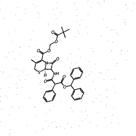 CC1=C(C(=O)OCOC(=O)C(C)(C)C)N2C(=O)C(NC(=O)C(C(=O)OC(c3ccccc3)c3ccccc3)c3ccccc3)[C@H]2SC1